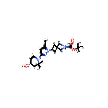 Cc1cc(N2CC[C@@H](O)CC2(C)C)nn1C1CC2(C1)CN(C(=O)OC(C)(C)C)C2